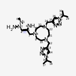 C=NN(N)/C=C(\N)CN1CCN(Cc2cn(C(C)C)nn2)CCN(Cc2cn(C(C)C)nn2)CC1